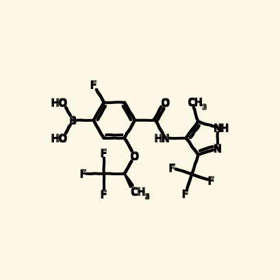 Cc1[nH]nc(C(F)(F)F)c1NC(=O)c1cc(F)c(B(O)O)cc1O[C@@H](C)C(F)(F)F